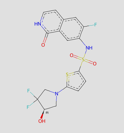 O=c1[nH]ccc2cc(F)c(NS(=O)(=O)c3ccc(N4C[C@@H](O)C(F)(F)C4)s3)cc12